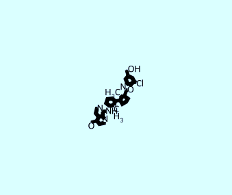 Cc1c(Nc2nccc3c(C=O)ccnc23)cccc1-c1cccc(-c2nc3cc(CO)cc(Cl)c3o2)c1C